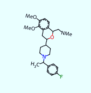 CNCC1OC(C2CCN(C(C)c3ccc(F)cc3)CC2)Cc2c1ccc(OC)c2OC